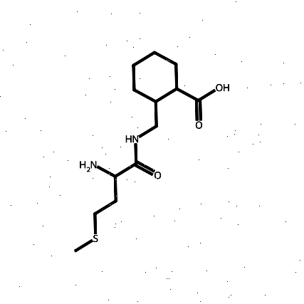 CSCCC(N)C(=O)NCC1CCCCC1C(=O)O